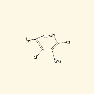 Cc1cnc(Cl)c(C=O)c1Cl